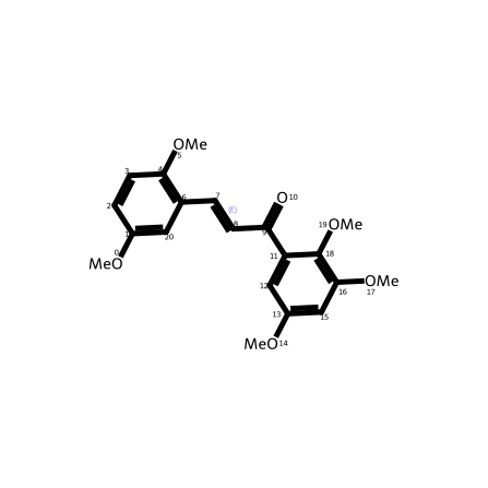 COc1ccc(OC)c(/C=C/C(=O)c2cc(OC)cc(OC)c2OC)c1